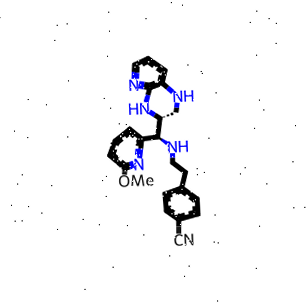 COc1cccc([C@H](NCCc2ccc(C#N)cc2)[C@H]2CNc3cccnc3N2)n1